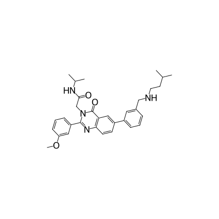 COc1cccc(-c2nc3ccc(-c4cccc(CNCCC(C)C)c4)cc3c(=O)n2CC(=O)NC(C)C)c1